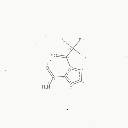 NC(=O)c1sccc1C(=O)C(F)(F)F